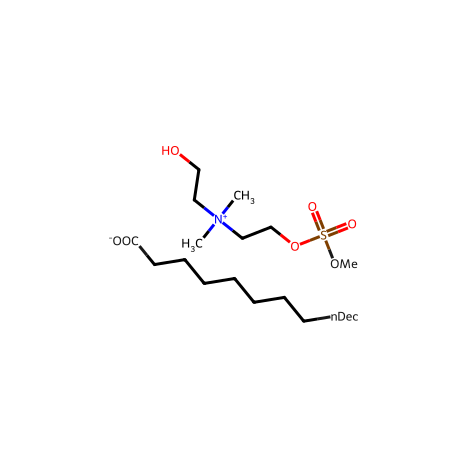 CCCCCCCCCCCCCCCCCC(=O)[O-].COS(=O)(=O)OCC[N+](C)(C)CCO